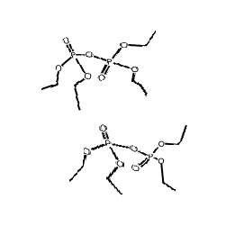 CCOP(=O)(OCC)OP(=O)(OCC)OCC.CCOP(=O)(OCC)OP(=O)(OCC)OCC